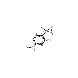 COc1ccc(C2(C)CC2)nc1